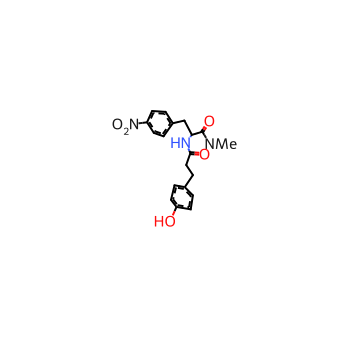 CNC(=O)C(Cc1ccc([N+](=O)[O-])cc1)NC(=O)CCc1ccc(O)cc1